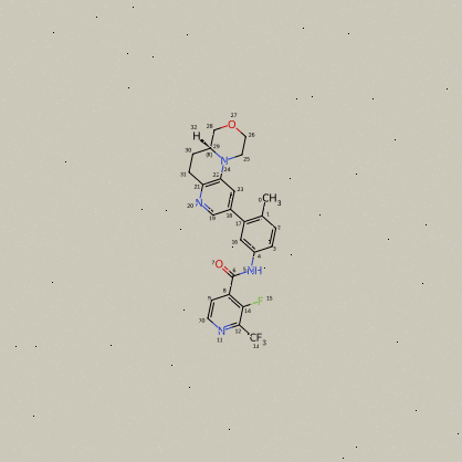 Cc1ccc(NC(=O)c2ccnc(C(F)(F)F)c2F)cc1-c1cnc2c(c1)N1CCOC[C@H]1CC2